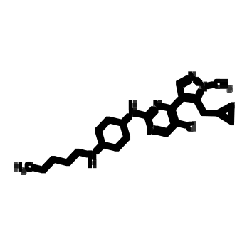 CCCCCNC1CCC(Nc2ncc(Cl)c(-c3cnn(C)c3CC3CC3)n2)CC1